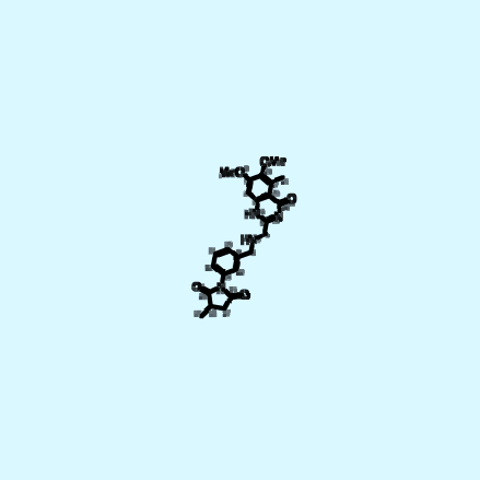 COc1cc2[nH]c(CNCc3cccc(N4C(=O)CC(C)C4=O)c3)nc(=O)c2c(C)c1OC